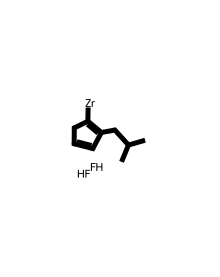 CC(C)CC1=[C]([Zr])CC=C1.F.F